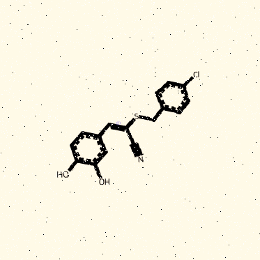 N#C/C(=C\c1ccc(O)c(O)c1)SCc1ccc(Cl)cc1